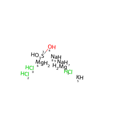 Cl.Cl.Cl.O=S(=O)(O)O.[KH].[MgH2].[MgH2].[NaH].[NaH]